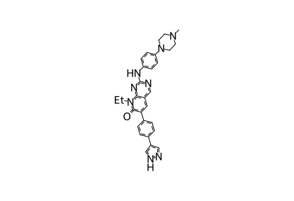 CCn1c(=O)c(-c2ccc(-c3cn[nH]c3)cc2)cc2cnc(Nc3ccc(N4CCN(C)CC4)cc3)nc21